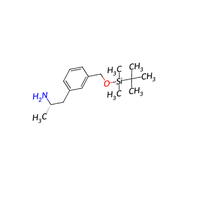 C[C@H](N)Cc1cccc(CO[Si](C)(C)C(C)(C)C)c1